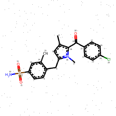 Cc1cc(Cc2ccc(S(N)(=O)=O)cc2C#N)n(C)c1C(=O)c1ccc(Cl)cc1